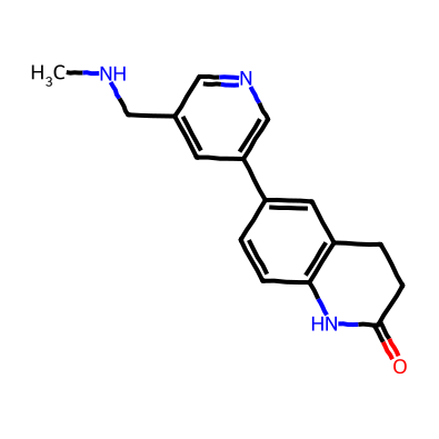 CNCc1cncc(-c2ccc3c(c2)CCC(=O)N3)c1